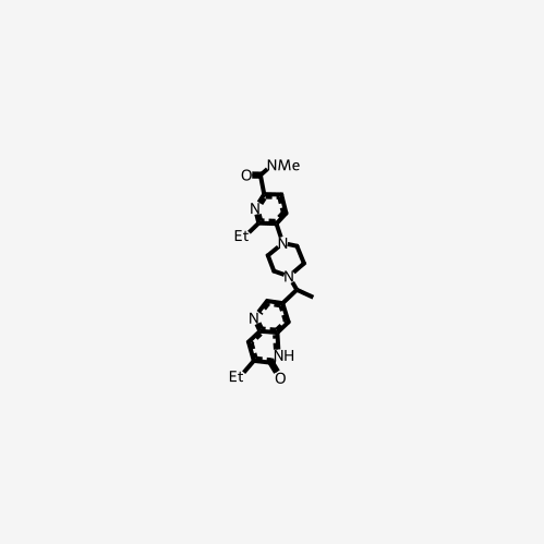 CCc1nc(C(=O)NC)ccc1N1CCN(C(C)c2cnc3cc(CC)c(=O)[nH]c3c2)CC1